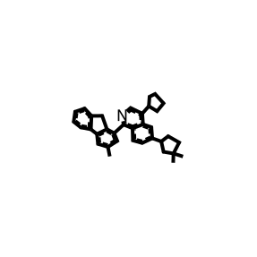 Cc1cc2c(c(-c3ncc(C4CCCC4)c4cc(C5CCC(C)(C)C5)ccc34)c1)Cc1ccccc1-2